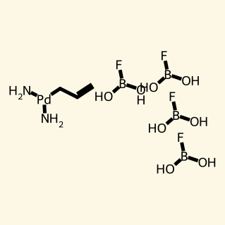 C=C[CH2][Pd]([NH2])[NH2].OB(O)F.OB(O)F.OB(O)F.OB(O)F